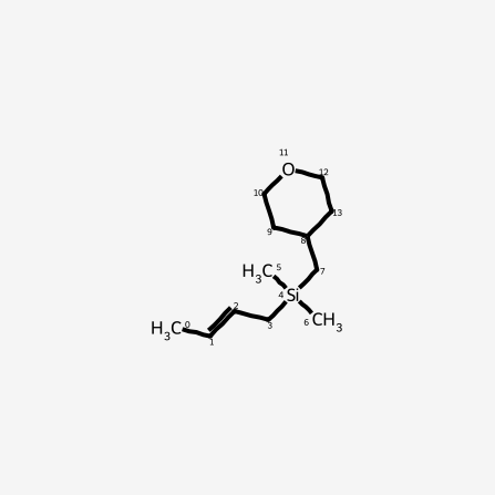 CC=CC[Si](C)(C)CC1CCOCC1